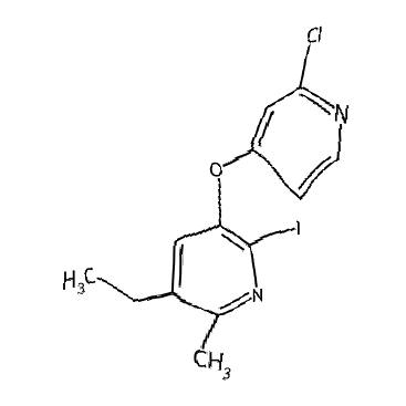 CCc1cc(Oc2ccnc(Cl)c2)c(I)nc1C